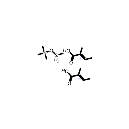 C/C=C(\C)C(=O)O.C/C=C(\C)C(=O)O.C[SiH2]O[Si](C)(C)C